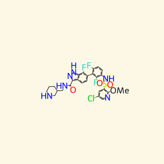 COc1ncc(Cl)cc1S(=O)(=O)Nc1ccc(F)c(-c2ccc3c(C(=O)NCC4CCCNC4)n[nH]c3c2F)c1F